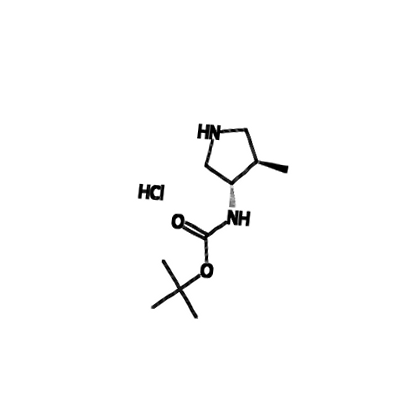 C[C@@H]1CNC[C@H]1NC(=O)OC(C)(C)C.Cl